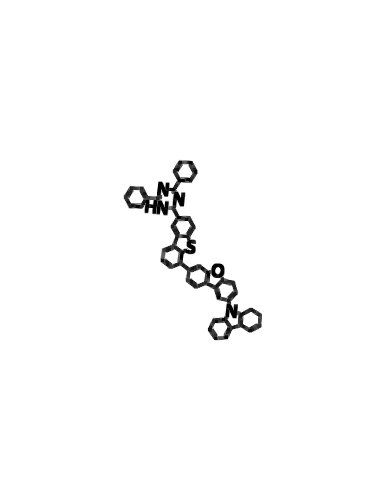 C1=Cc2c(n(-c3ccc4oc5cc(-c6cccc7c6sc6ccc(C8N=C(c9ccccc9)N=C(c9ccccc9)N8)cc67)ccc5c4c3)c3ccccc23)CC1